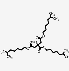 CC(C)CCCCCOC(=O)CC(O)(CC(=O)OCCCCCC(C)C)C(=O)OCCCCCC(C)C